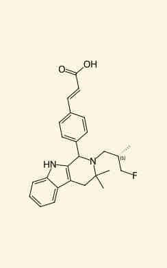 C[C@H](CF)CN1C(c2ccc(C=CC(=O)O)cc2)c2[nH]c3ccccc3c2CC1(C)C